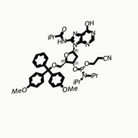 COc1ccc(C(OC[C@H]2O[C@@H](n3c(NC(=O)C(C)C)nc4c(O)ncnc43)C[C@@H]2OP(OCCC#N)N(C(C)C)C(C)C)(c2ccccc2)c2ccc(OC)cc2)cc1